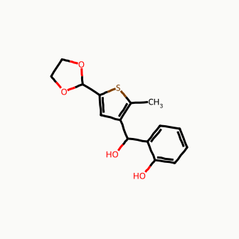 Cc1sc(C2OCCO2)cc1C(O)c1ccccc1O